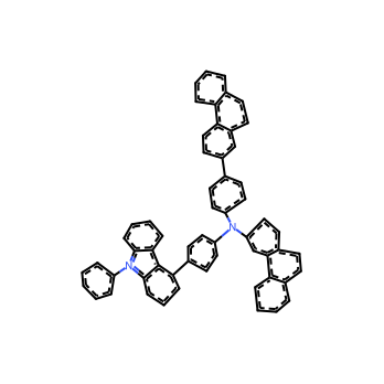 c1ccc(-n2c3ccccc3c3c(-c4ccc(N(c5ccc(-c6ccc7c(ccc8ccccc87)c6)cc5)c5ccc6ccc7ccccc7c6c5)cc4)cccc32)cc1